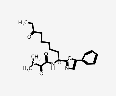 CCC(=O)CCCCC[C@H](NC(=O)C(=O)N(C)C)c1ncc(-c2ccccc2)o1